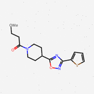 COCCC(=O)N1CCC(c2nc(-c3cccs3)no2)CC1